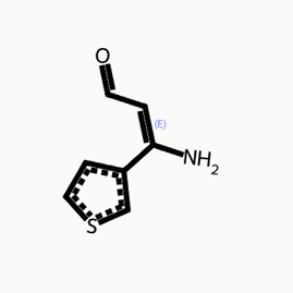 N/C(=C/C=O)c1ccsc1